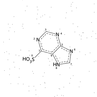 O=S(=O)(O)c1ncnc2nc[nH]c12